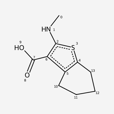 CNc1sc2c(c1C(=O)O)CCCC2